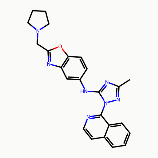 Cc1nc(Nc2ccc3oc(CN4CCCC4)nc3c2)n(-c2nccc3ccccc23)n1